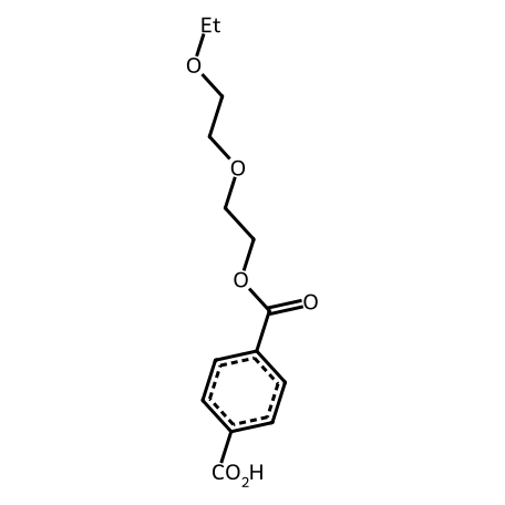 CCOCCOCCOC(=O)c1ccc(C(=O)O)cc1